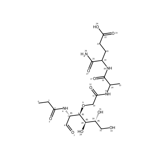 CCC(=O)N[C@@H](C=O)[C@@H](OCC(=O)NC(C)C(=O)NC(CCC(=O)O)C(N)=O)[C@H](O)[C@H](O)CO